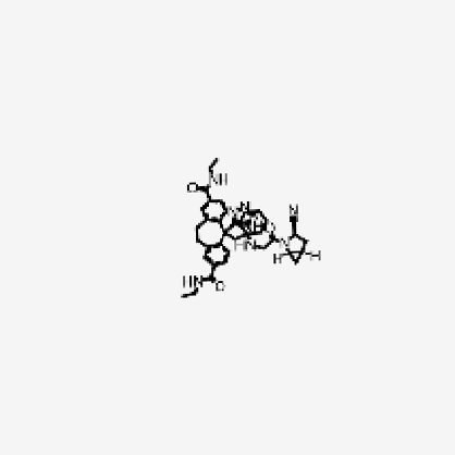 CCNC(=O)c1ccc2c(c1)CCc1cc(C(=O)NCC)ccc1C2(CC1(NCC(=O)N2C(C#N)C[C@@H]3C[C@@H]32)CCCCC1)c1nnn[nH]1